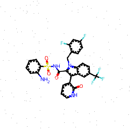 Nc1ccccc1S(=O)(=O)NC(=O)c1c(-c2ccc[nH]c2=O)c2cc(C(F)(F)F)ccc2n1Cc1ccc(F)cc1F